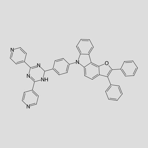 c1ccc(-c2oc3c(ccc4c3c3ccccc3n4-c3ccc(C4N=C(c5ccncc5)N=C(c5ccncc5)N4)cc3)c2-c2ccccc2)cc1